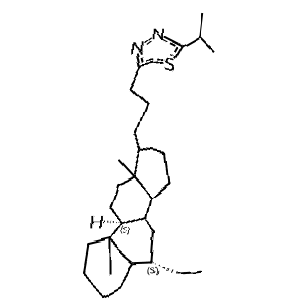 CC[C@H]1CC2C3CCC(CCCc4nnc(C(C)C)s4)C3(C)CC[C@@H]2C2(C)CCCCC12